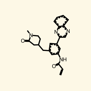 C=CC(=O)Nc1cc(CC2CCN(C)C(=O)C2)cc(-c2cnc3ccccc3n2)c1